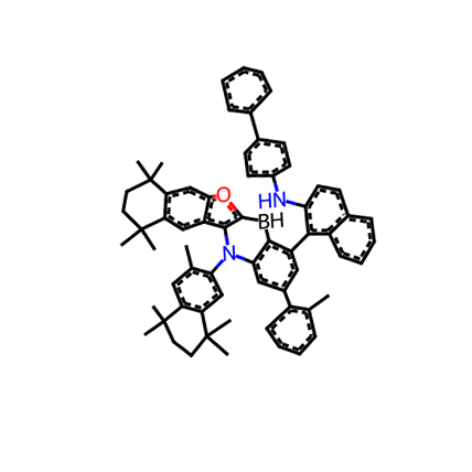 Cc1ccccc1-c1cc(-c2c(Nc3ccc(-c4ccccc4)cc3)ccc3ccccc23)c2c(c1)N(c1cc3c(cc1C)C(C)(C)CCC3(C)C)c1c(oc3cc4c(cc13)C(C)(C)CCC4(C)C)B2